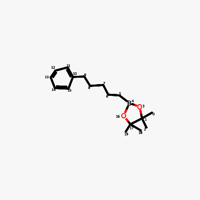 CC1(C)OB(CCCCCc2ccccc2)OC1(C)C